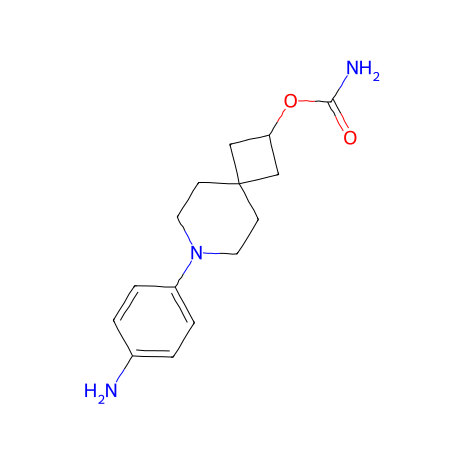 NC(=O)OC1CC2(CCN(c3ccc(N)cc3)CC2)C1